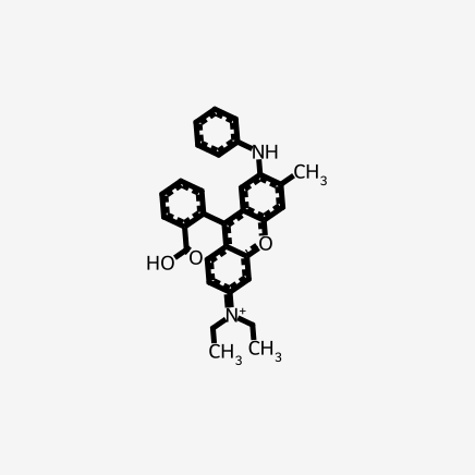 CC[N+](CC)=c1ccc2c(-c3ccccc3C(=O)O)c3cc(Nc4ccccc4)c(C)cc3oc-2c1